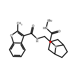 Cc1oc2ccccc2c1C(=O)NCC1CC2CCC(C1)N2CC(=O)NC(C)(C)C